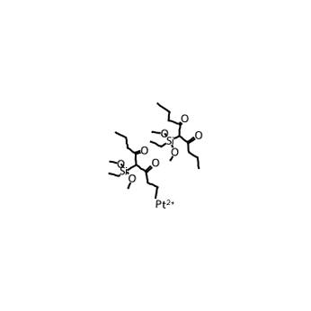 CCCC(=O)C(C(=O)CCC)[Si](CC)(OC)OC.CCCC(=O)C(C(=O)CCC)[Si](CC)(OC)OC.[Pt+2]